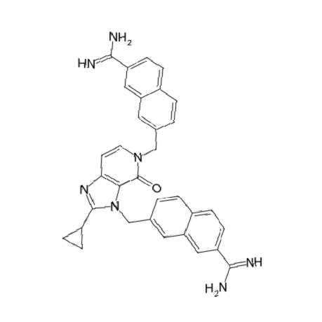 N=C(N)c1ccc2ccc(Cn3ccc4nc(C5CC5)n(Cc5ccc6ccc(C(=N)N)cc6c5)c4c3=O)cc2c1